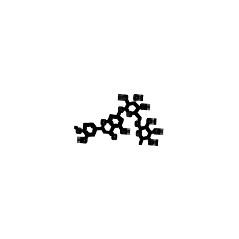 COc1ccc(C2CC(=O)c3c(O)cc(O[C@@H]4OC(CO[C@@H]5OC(C)[C@H](O)[C@H](O)C5O)[C@@H](O)[C@@H](O)C4O)cc3O2)cc1O